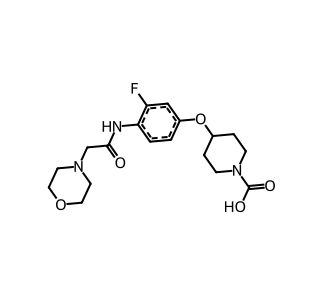 O=C(CN1CCOCC1)Nc1ccc(OC2CCN(C(=O)O)CC2)cc1F